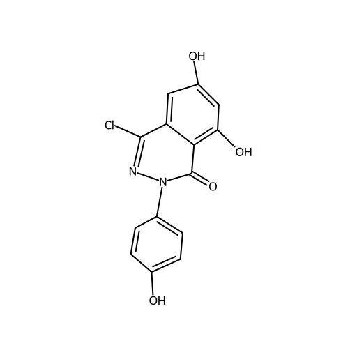 O=c1c2c(O)cc(O)cc2c(Cl)nn1-c1ccc(O)cc1